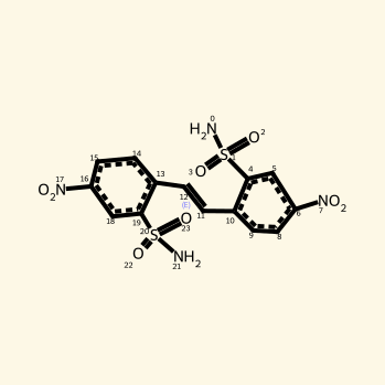 NS(=O)(=O)c1cc([N+](=O)[O-])ccc1/C=C/c1ccc([N+](=O)[O-])cc1S(N)(=O)=O